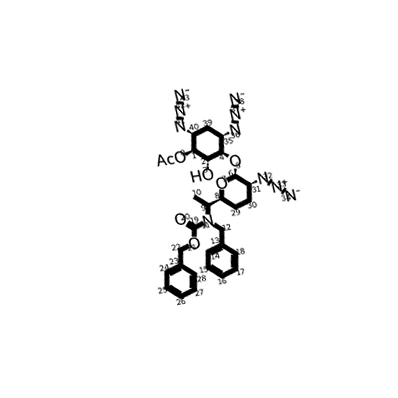 CC(=O)O[C@@H]1[C@@H](O)[C@H](O[C@H]2O[C@H](C(C)N(Cc3ccccc3)C(=O)OCc3ccccc3)CC[C@H]2N=[N+]=[N-])[C@@H](N=[N+]=[N-])C[C@H]1N=[N+]=[N-]